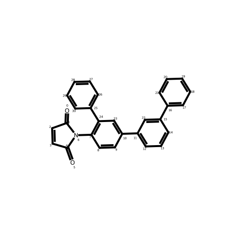 O=C1C=CC(=O)N1c1ccc(-c2cccc(-c3ccccc3)c2)cc1-c1ccccc1